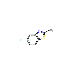 [CH2]c1nc2cc(F)ccc2s1